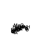 CCc1cccc(CC)c1NC(=O)c1nn(C)c2c1CCc1cnc(Nc3ccc(NC4CCOCC4)cc3OC)nc1-2